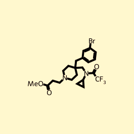 COC(=O)CCN1CCC(Cc2cccc(Br)c2)(CN(C(=O)C(F)(F)F)C2CC2)CC1